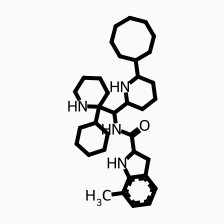 Cc1cccc2c1NC(C(=O)NC(C1CCCC(C3CCCCCCC3)N1)C1(C3CCCCC3)CCCCN1)C2